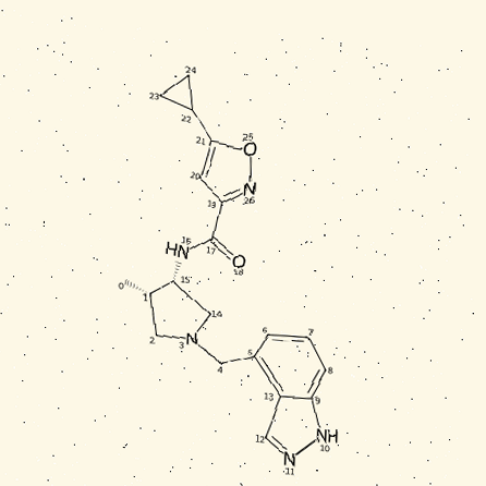 C[C@H]1CN(Cc2cccc3[nH]ncc23)C[C@H]1NC(=O)c1cc(C2CC2)on1